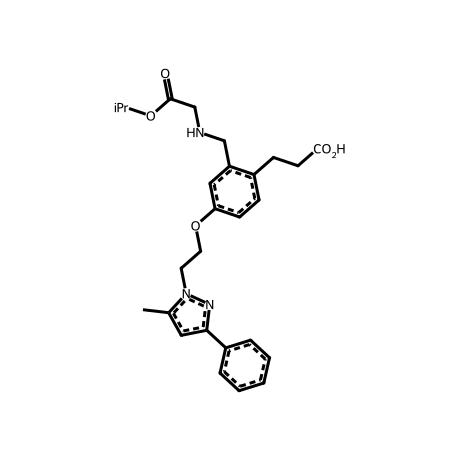 Cc1cc(-c2ccccc2)nn1CCOc1ccc(CCC(=O)O)c(CNCC(=O)OC(C)C)c1